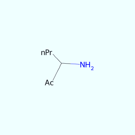 CCCC(N)C(C)=O